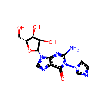 Nc1nc2c(ncn2[C@@H]2O[C@H](CO)[C@@H](O)[C@H]2O)c(=O)n1-n1ccnc1